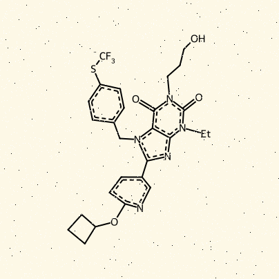 CCn1c(=O)n(CCCO)c(=O)c2c1nc(-c1ccc(OC3CCC3)nc1)n2Cc1ccc(SC(F)(F)F)cc1